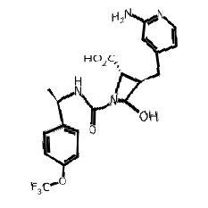 C[C@@H](NC(=O)N1C(O)[C@H](Cc2ccnc(N)c2)[C@H]1C(=O)O)c1ccc(OC(F)(F)F)cc1